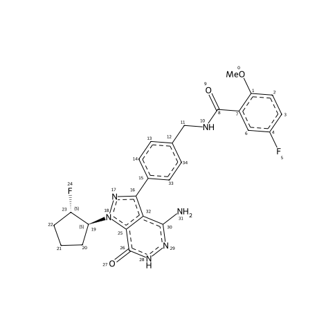 COc1ccc(F)cc1C(=O)NCc1ccc(-c2nn([C@H]3CCC[C@@H]3F)c3c(=O)[nH]nc(N)c23)cc1